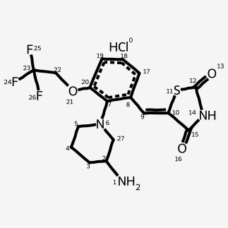 Cl.NC1CCCN(c2c(C=C3SC(=O)NC3=O)cccc2OCC(F)(F)F)C1